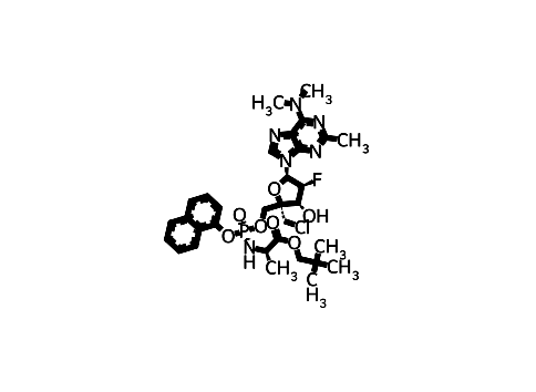 Cc1nc(N(C)C)c2ncn([C@@H]3O[C@](CCl)(CO[P@](=O)(N[C@H](C)C(=O)OCC(C)(C)C)Oc4cccc5ccccc45)[C@@H](O)[C@@H]3F)c2n1